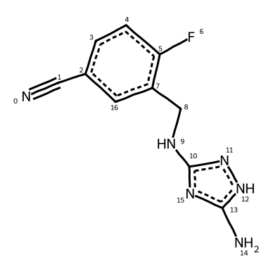 N#Cc1ccc(F)c(CNc2n[nH]c(N)n2)c1